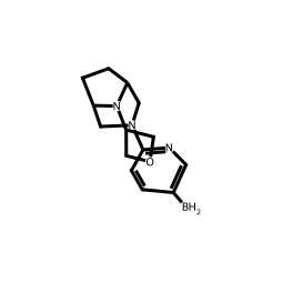 Bc1ccc(N2CC3CCC(C2)N3C2COC2)nc1